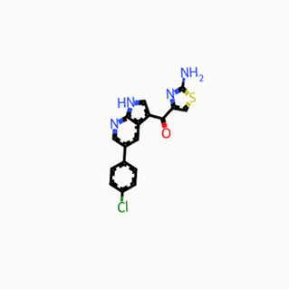 Nc1nc(C(=O)c2c[nH]c3ncc(-c4ccc(Cl)cc4)cc23)cs1